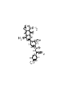 COc1cc2c(N)nc(N3CCN(C(=O)CC(N)c4ccc(Cl)cc4)CC3)nc2c(F)c1OC.Cl